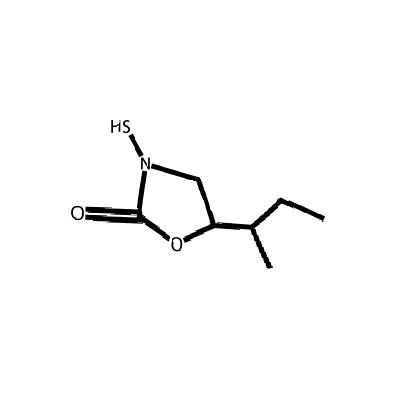 CCC(C)C1CN(S)C(=O)O1